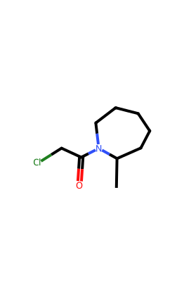 CC1CCCCCN1C(=O)CCl